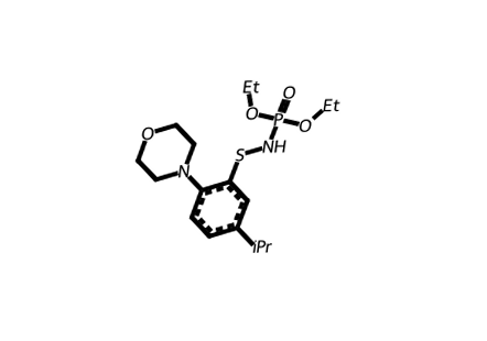 CCOP(=O)(NSc1cc(C(C)C)ccc1N1CCOCC1)OCC